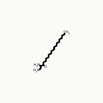 CCCCCCCCC=CCCCCCCCC(=O)C(N)CN